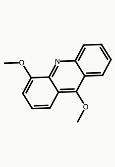 COc1c2ccccc2nc2c(OC)cccc12